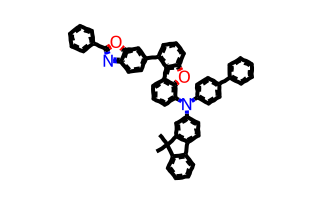 CC1(C)c2ccccc2-c2ccc(N(c3ccc(-c4ccccc4)cc3)c3cccc4c3oc3cccc(-c5ccc6nc(-c7ccccc7)oc6c5)c34)cc21